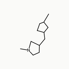 CC1CCC(CC2CCN(C)C2)C1